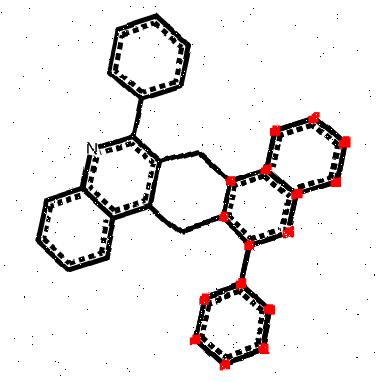 c1ccc(-c2nc3ccccc3c3c2C2c4c(c(-c5ccccc5)nc5ccccc45)C3c3c(-c4ccccc4)nc4ccccc4c32)cc1